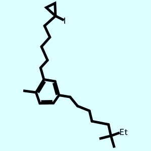 CCC(C)(C)CCCCCc1ccc(C)c(CCCCCC2(I)CC2)c1